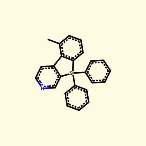 Cc1cccc2c1-c1ccncc1[Si]2(c1ccccc1)c1ccccc1